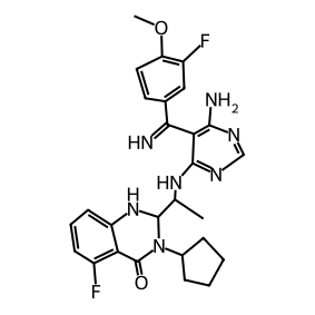 COc1ccc(C(=N)c2c(N)ncnc2NC(C)C2Nc3cccc(F)c3C(=O)N2C2CCCC2)cc1F